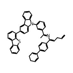 C=CC/C=C(\N=C(/C)c1cccc(-n2c3ccccc3c3cc(-c4cccc5c4sc4ccccc45)ccc32)c1)c1ccc(C2=CCCC=C2)cc1